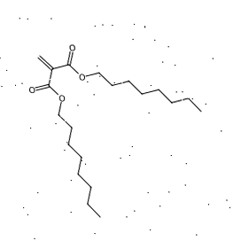 C=C(C(=O)OCCCCCCCC)C(=O)OCCCCCCCC